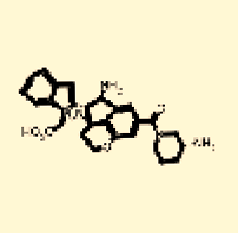 N[C@@H]1CCCN(C(=O)c2cc3c4c(c2)[C@H](N)[C@@H](c2cc5ccccc5n2CC(=O)O)[C@]4(N)CCO3)C1